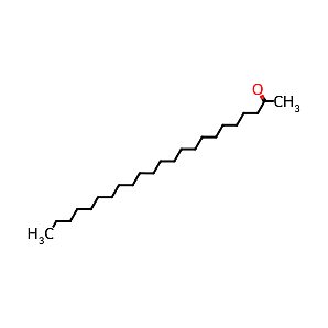 CCCCCCCCCCCCCCCCCCCCCC(C)=O